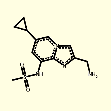 CS(=O)(=O)Nc1cc(C2CC2)cn2cc(CN)nc12